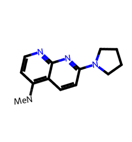 CNc1ccnc2nc(N3CCCC3)ccc12